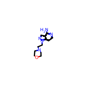 Nc1nccc2c1cnn2CCN1CCOCC1